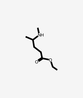 CCOC(=O)CCC(C)NC